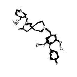 CCOc1cc(CN2CCC3(CC2)CC(=O)N(c2cnccc2O)C3)cc(OCC)c1-c1ccc(F)cc1